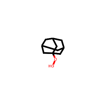 OOC12CC3CC(CC(C3)C1)C2